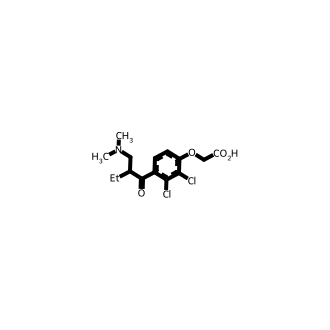 CCC(CN(C)C)C(=O)c1ccc(OCC(=O)O)c(Cl)c1Cl